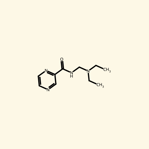 CCN(CC)CNC(=O)c1cnccn1